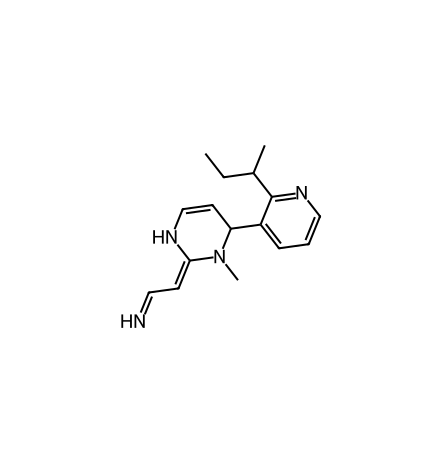 CCC(C)c1ncccc1C1C=CN/C(=C\C=N)N1C